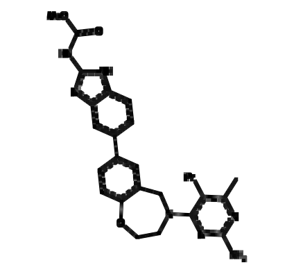 COC(=O)Nc1nc2cc(-c3ccc4c(c3)CN(c3nc(N)nc(C)c3C(C)C)CCO4)ccc2[nH]1